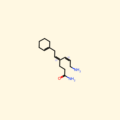 NC/C=C\C(=C/CC1=CCCCC1)CCC(N)=O